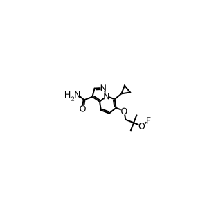 CC(C)(COc1ccc2c(C(N)=O)cnn2c1C1CC1)OF